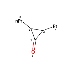 CCCC1C(=O)C1CC